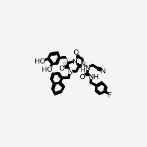 N#CCN(C(=O)NCc1ccc(F)cc1)N1CC(=O)N2[C@@H](Cc3ccc(O)c(O)c3)C(=O)N(Cc3cccc4ccccc34)C[C@@H]21